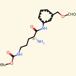 CC(C)(C)OC(=O)NCCC[C@@H](N)C(=O)Nc1cccc(COC=O)c1